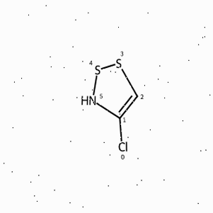 ClC1=CSSN1